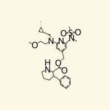 COCCN(C[C@H]1C[C@@H]1C)c1cc(COC(=O)C2NCCCC2c2ccccc2)cc(N(C)S(C)(=O)=O)n1